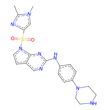 Cc1nc(S(=O)(=O)n2ccc3cnc(Nc4ccc(N5CCNCC5)cc4)nc32)cn1C